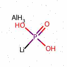 [AlH3].[Li][P](=O)(O)O